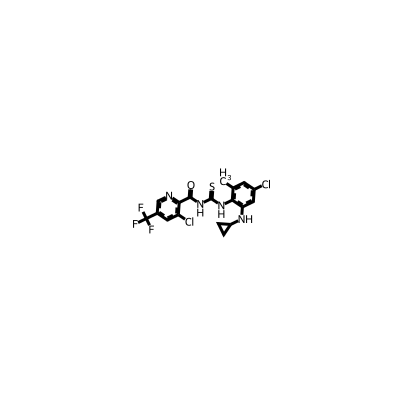 Cc1cc(Cl)cc(NC2CC2)c1NC(=S)NC(=O)c1ncc(C(F)(F)F)cc1Cl